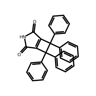 O=C1NC(=O)C2=C1C(c1ccccc1)(c1ccccc1)C2(c1ccccc1)c1ccccc1